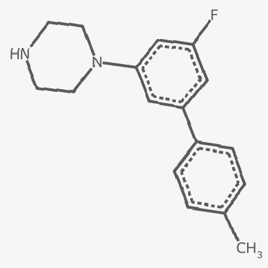 Cc1ccc(-c2cc(F)cc(N3CCNCC3)c2)cc1